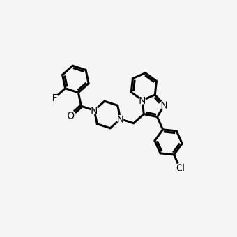 O=C(c1ccccc1F)N1CCN(Cc2c(-c3ccc(Cl)cc3)nc3ccccn23)CC1